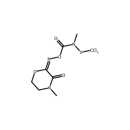 CN1CCOC(=NOC(=O)N(C)SC(Cl)(Cl)Cl)C1=O